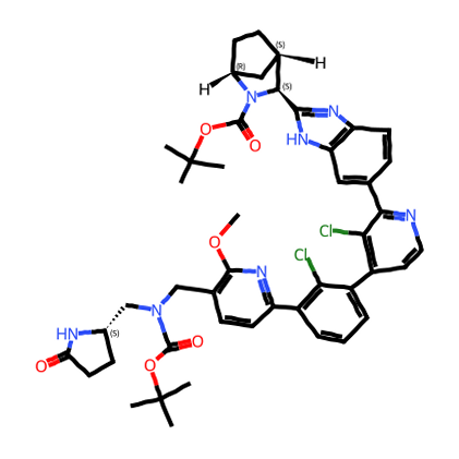 COc1nc(-c2cccc(-c3ccnc(-c4ccc5nc([C@@H]6[C@H]7CC[C@H](C7)N6C(=O)OC(C)(C)C)[nH]c5c4)c3Cl)c2Cl)ccc1CN(C[C@@H]1CCC(=O)N1)C(=O)OC(C)(C)C